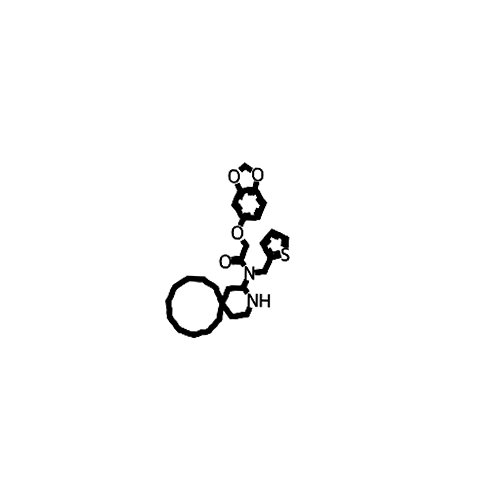 O=C(COc1ccc2c(c1)OCO2)N(Cc1cccs1)C1CC2(CCCCCCCCCC2)CCN1